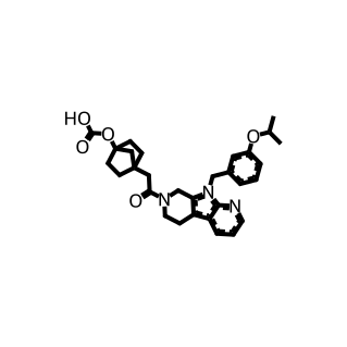 CC(C)Oc1cccc(Cn2c3c(c4cccnc42)CCN(C(=O)CC24CCC(OC(=O)O)(CC2)C4)C3)c1